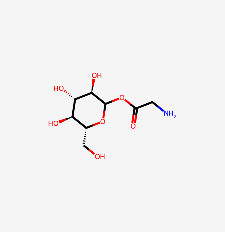 NCC(=O)OC1O[C@H](CO)[C@@H](O)[C@H](O)[C@H]1O